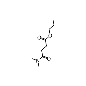 CCCOC(=O)CCC(=O)N(C)C